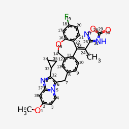 COc1ccn2c(Cc3ccc4c(c3)COc3cc(F)ccc3C4=C(C)c3noc(=O)[nH]3)c(C3CC3)nc2c1